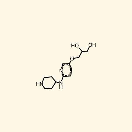 OCC(O)COc1ccc(NC2CCNCC2)nc1